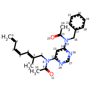 C=C/C=C\C=C(/C)CN(C(C)=O)c1cc(N(Cc2ccccc2)C(C)=O)ncn1